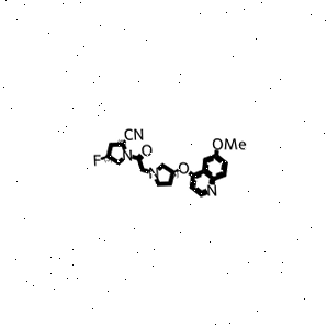 COc1ccc2nccc(O[C@H]3CCN(CC(=O)N4C[C@@H](F)C[C@H]4C#N)C3)c2c1